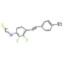 CCc1ccc(C#Cc2ccc(N=C=S)c(F)c2F)cc1